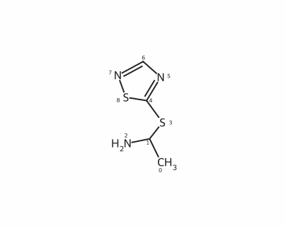 CC(N)Sc1ncns1